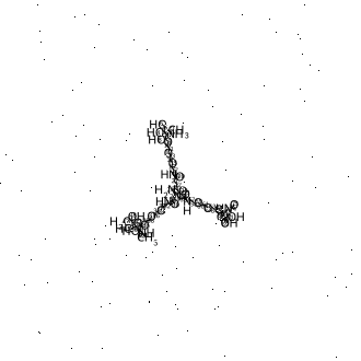 CN/C(=C(/O)CO)C(O)OCCOCCOCCNC(=O)CCC(N)C(=O)N(CC(=O)NCCOCCOCCOC(OC(CO)C(C)O)C(O)NC)CC(=O)NCCOCCOCCOC1ON(O)C(O)C1NC=O